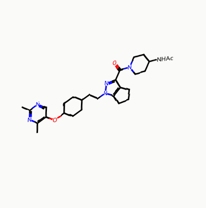 CC(=O)NC1CCN(C(=O)c2nn(CCC3CCC(Oc4cnc(C)nc4C)CC3)c3c2CCC3)CC1